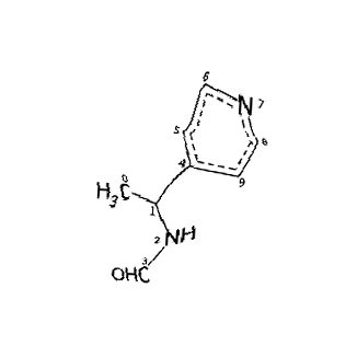 CC(NC=O)c1ccncc1